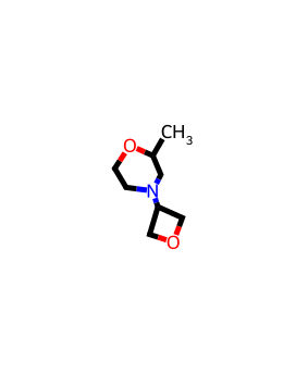 CC1CN(C2COC2)CCO1